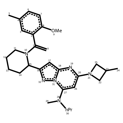 C=C(c1cc(C)ccc1OC)N1CCCCC1c1cc2nc(N3CC(C)C3)cc(N(C)CCC)n2n1